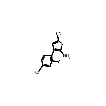 N#Cc1cc(-c2ccc(Cl)cc2Cl)c(N)[nH]1